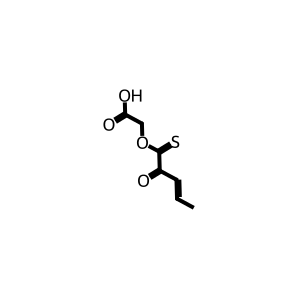 CC=CC(=O)C(=S)OCC(=O)O